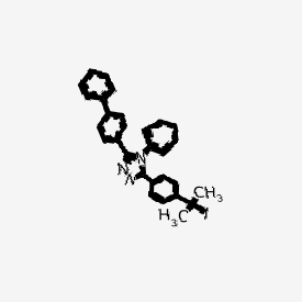 CC(C)(I)C1C=CC(c2nnc(-c3ccc(-c4ccccc4)cc3)n2-c2ccccc2)=CC1